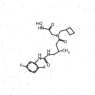 CC(CNC(=O)Nc1cc(F)ccc1F)CC(=O)N(CC(=O)NO)CC1CCC1